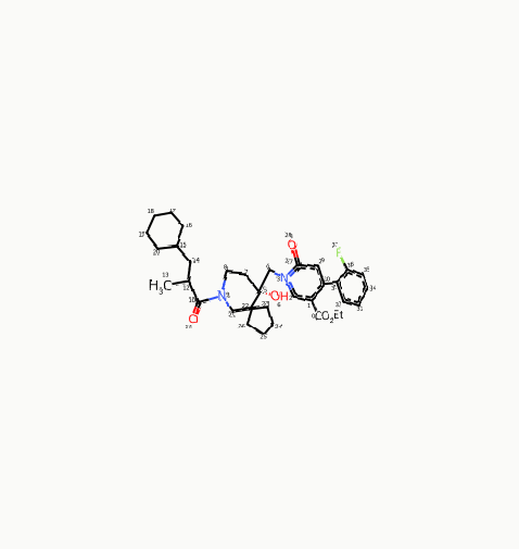 CCOC(=O)c1cn(C[C@]2(O)CCN(C(=O)C(C)CC3CCCCC3)CC23CCCC3)c(=O)cc1-c1ccccc1F